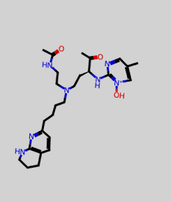 CC(=O)NCCN(CCCCc1ccc2c(n1)NCCC2)CC[C@H](Nc1ncc(C)c[n+]1O)C(C)=O